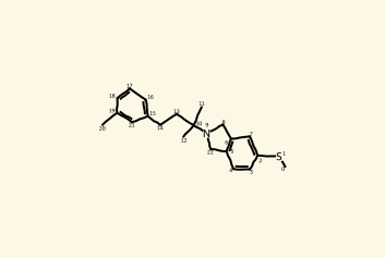 CSc1ccc2c(c1)CN(C(C)(C)CCc1cccc(C)c1)C2